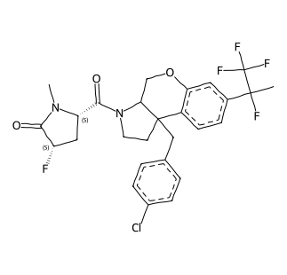 CN1C(=O)[C@@H](F)C[C@H]1C(=O)N1CCC2(Cc3ccc(Cl)cc3)c3ccc(C(C)(F)C(F)(F)F)cc3OCC12